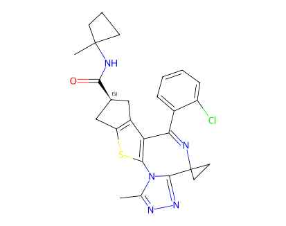 Cc1nnc2n1-c1sc3c(c1C(c1ccccc1Cl)=NC21CC1)C[C@H](C(=O)NC1(C)CCC1)C3